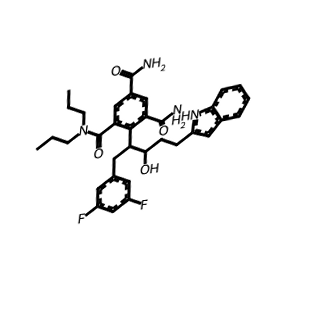 CCCN(CCC)C(=O)c1cc(C(N)=O)cc(C(N)=O)c1C(Cc1cc(F)cc(F)c1)C(O)CCc1cc2ccccc2[nH]1